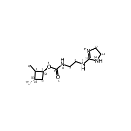 CC1[C@@H](OC(=O)NCCNC2=NCCN2)C[C@@H]1C